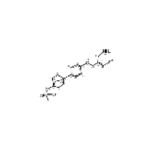 CS(=O)(=O)NC12CCC(c3ccc(OC/C(=C/F)CN)cc3)(CC1)CC2